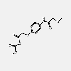 COCC(=O)Nc1ccc(OCC(=O)OC(=O)OC)cc1